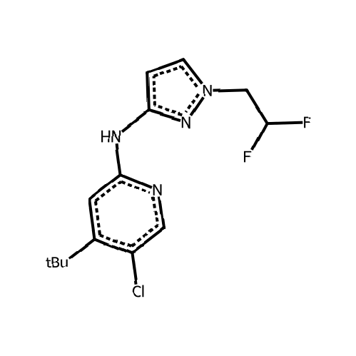 CC(C)(C)c1cc(Nc2ccn(CC(F)F)n2)ncc1Cl